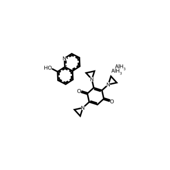 O=C1C=C(N2CC2)C(=O)C(N2CC2)=C1N1CC1.Oc1cccc2cccnc12.[AlH3].[AlH3]